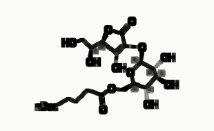 CCCCCCCCCCCCCC(=O)OC[C@H]1O[C@@H](OC2=C(O)[C@@H]([C@@H](O)CO)OC2=O)[C@H](O)[C@@H](O)[C@@H]1O